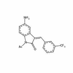 CC(=O)N1C(=O)C(=Cc2cccc(C(F)(F)F)c2)c2cc(N)ccc21